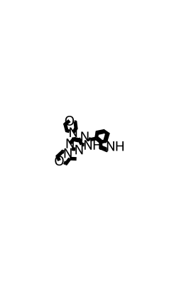 CC1COCCN1c1nc(N2CCOCC2)c2nc(-c3cccc4[nH]ccc34)[nH]c2n1